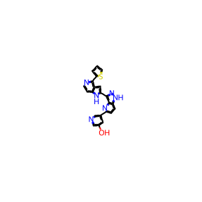 Oc1cncc(-c2ccc3[nH]nc(-c4cc5c(-c6cccs6)nccc5[nH]4)c3n2)c1